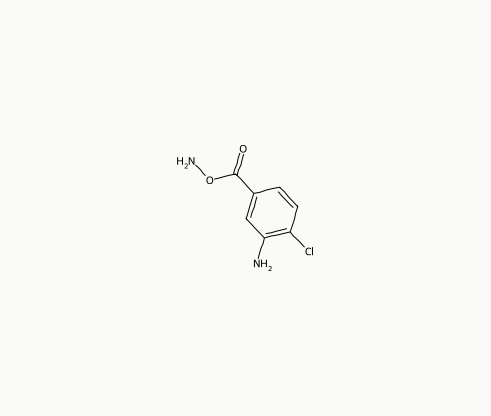 NOC(=O)c1ccc(Cl)c(N)c1